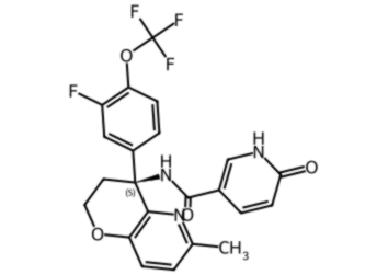 Cc1ccc2c(n1)[C@@](NC(=O)c1ccc(=O)[nH]c1)(c1ccc(OC(F)(F)F)c(F)c1)CCO2